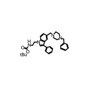 CC(C)(C)OC(=O)NCCn1cc(-c2ccccc2)c2cc(CN3CCN(Cc4ccccc4)CC3)ccc21